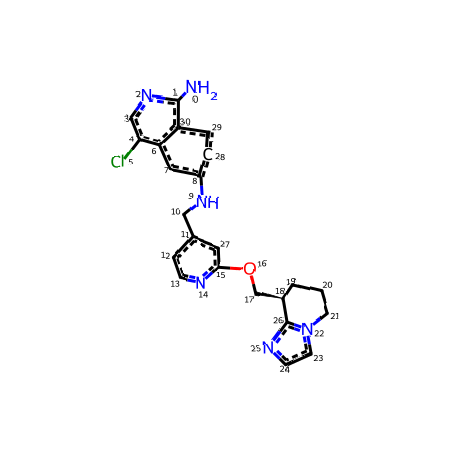 Nc1ncc(Cl)c2cc(NCc3ccnc(OC[C@H]4CCCn5ccnc54)c3)ccc12